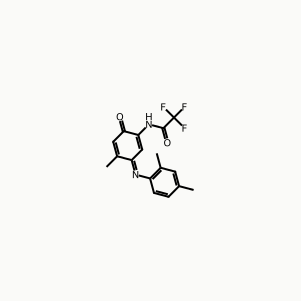 CC1=CC(=O)C(NC(=O)C(F)(F)F)=CC1=Nc1ccc(C)cc1C